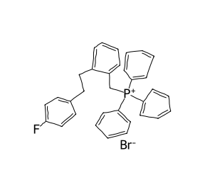 Fc1ccc(CCc2ccccc2C[P+](c2ccccc2)(c2ccccc2)c2ccccc2)cc1.[Br-]